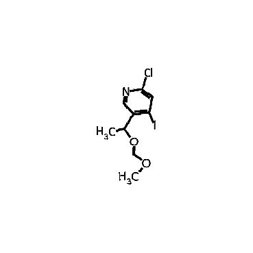 COCOC(C)c1cnc(Cl)cc1I